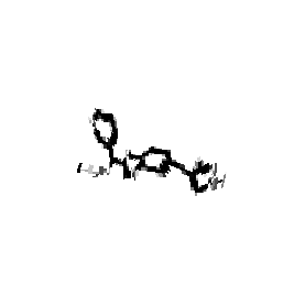 NC(c1cccnc1)c1cnc2cc(-c3cn[nH]c3)ccc2n1